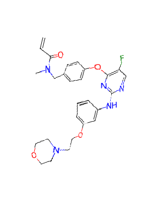 C=CC(=O)N(C)Cc1ccc(Oc2nc(Nc3cccc(OCCN4CCOCC4)c3)ncc2F)cc1